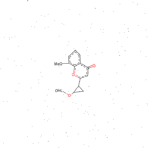 COc1cccc2c(=O)cc(C3CC3OC=O)oc12